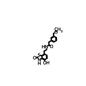 COCc1cccc(CC(=O)NCCc2ccc(O)c3[nH]c(=O)sc23)c1